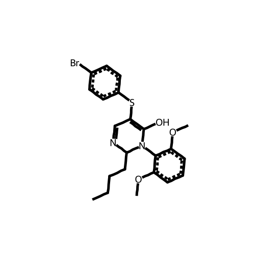 CCCCC1N=CC(Sc2ccc(Br)cc2)=C(O)N1c1c(OC)cccc1OC